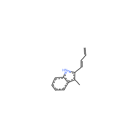 C=CC=Cc1[nH]c2ccccc2c1C